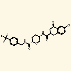 O=C1CC(C(=O)N[C@@H]2CC[C@@H](C(=O)NCc3ccc(C(F)(F)F)cc3)OC2)Oc2ccc(Cl)cc21